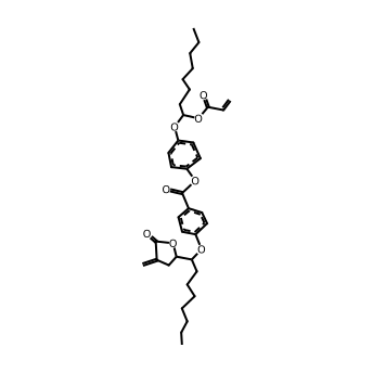 C=CC(=O)OC(CCCCCCC)Oc1ccc(OC(=O)c2ccc(OC(CCCCCCC)C3CC(=C)C(=O)O3)cc2)cc1